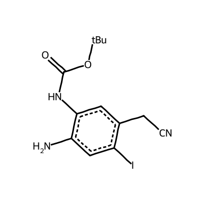 CC(C)(C)OC(=O)Nc1cc(CC#N)c(I)cc1N